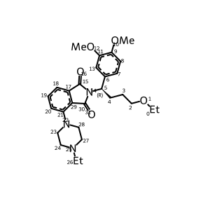 CCOCCC[C@H](c1ccc(OC)c(OC)c1)N1C(=O)c2cccc(N3CCN(CC)CC3)c2C1=O